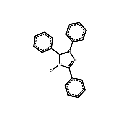 [O-][S+]1C(c2ccccc2)=NN(c2ccccc2)C1c1ccccc1